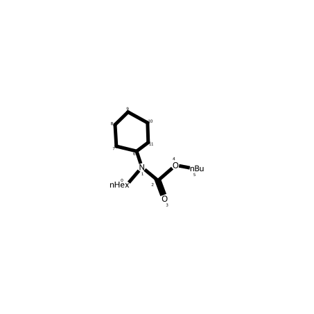 CCCCCCN(C(=O)OCCCC)C1CCCCC1